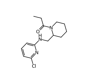 CCC(=O)N1CCCCC1CNc1cccc(Cl)n1